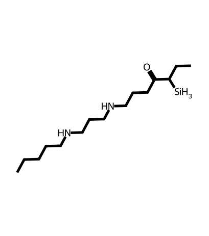 CCCCCNCCCNCCCC(=O)C([SiH3])CC